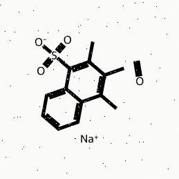 C=O.Cc1c(C)c(S(=O)(=O)[O-])c2ccccc2c1C.[Na+]